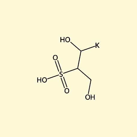 O=S(=O)(O)C(CO)[CH](O)[K]